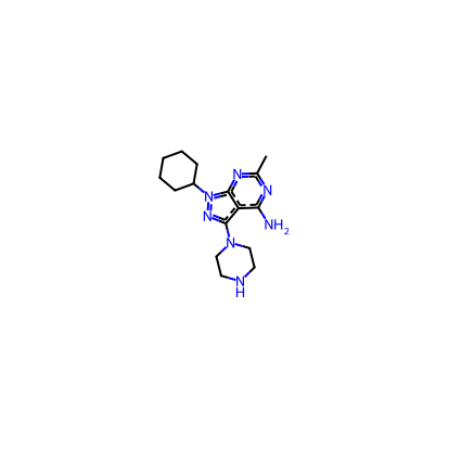 Cc1nc(N)c2c(N3CCNCC3)nn(C3CCCCC3)c2n1